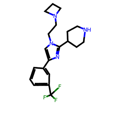 FC(F)(F)c1cccc(-c2cn(CCN3CCC3)c(C3CCNCC3)n2)c1